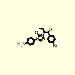 CCC(C(=O)c1ccc(Br)cc1)n1ncn(-c2ccc(N)cc2)c1=O